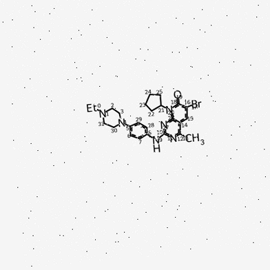 CCN1CCN(c2ccc(Nc3nc(C)c4cc(Br)c(=O)n(C5CCCC5)c4n3)cc2)CC1